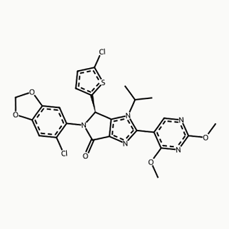 COc1ncc(-c2nc3c(n2C(C)C)[C@H](c2ccc(Cl)s2)N(c2cc4c(cc2Cl)OCO4)C3=O)c(OC)n1